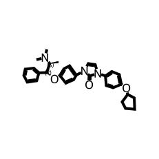 C[C@@H]([C@H](Oc1ccc(-n2ccn(-c3ccc(OC4CCCC4)cc3)c2=O)cc1)c1ccccc1)N(C)C